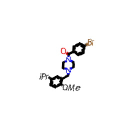 COc1ccc(C(C)C)cc1CN1CCN(C(=O)c2ccc(Br)cc2)CC1